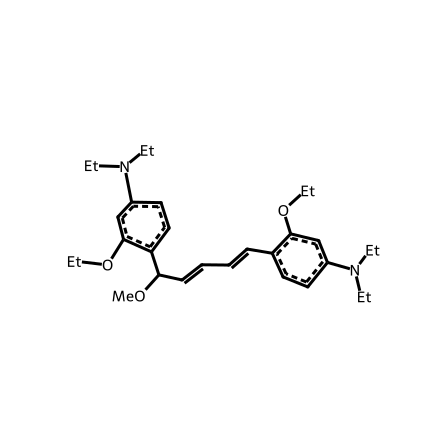 CCOc1cc(N(CC)CC)ccc1C=CC=CC(OC)c1ccc(N(CC)CC)cc1OCC